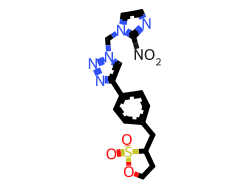 O=[N+]([O-])c1nccn1Cn1cc(-c2ccc(CC3CCOS3(=O)=O)cc2)nn1